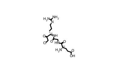 NC(N)=NCCC[C@H](NC(=O)CNC(=O)[C@@H](N)CCC(=O)O)C(=O)CCl